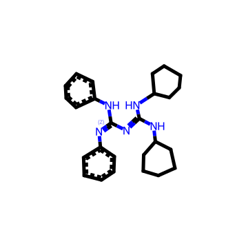 c1ccc(/N=C(\N=C(NC2CCCCC2)NC2CCCCC2)Nc2ccccc2)cc1